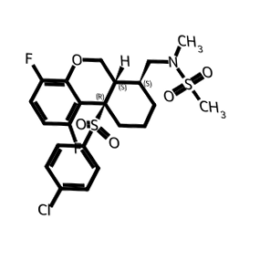 CN(C[C@H]1CCC[C@]2(S(=O)(=O)c3ccc(Cl)cc3)c3c(F)ccc(F)c3OC[C@H]12)S(C)(=O)=O